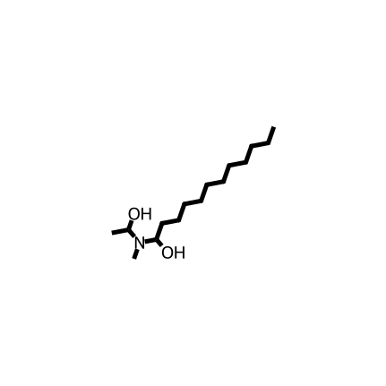 CCCCCCCCCCCC(O)N(C)C(C)O